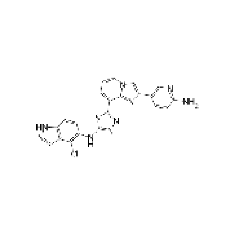 Nc1ccc(-c2cn3cccc(-c4nnc(Nc5ccc6[nH]ncc6c5Cl)s4)c3n2)cn1